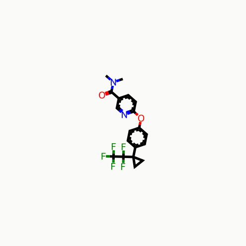 CN(C)C(=O)c1ccc(Oc2ccc(C3(C(F)(F)C(F)(F)F)CC3)cc2)nc1